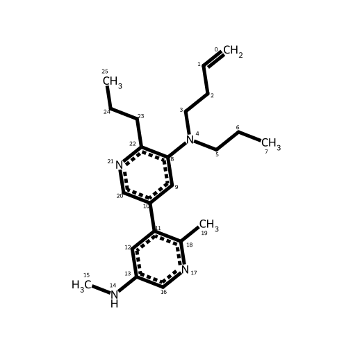 C=CCCN(CCC)c1cc(-c2cc(NC)cnc2C)cnc1CCC